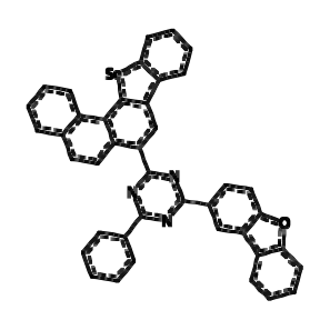 c1ccc(-c2nc(-c3ccc4oc5ccccc5c4c3)nc(-c3cc4c5ccccc5[se]c4c4c3ccc3ccccc34)n2)cc1